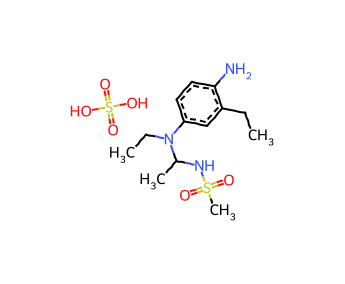 CCc1cc(N(CC)C(C)NS(C)(=O)=O)ccc1N.O=S(=O)(O)O